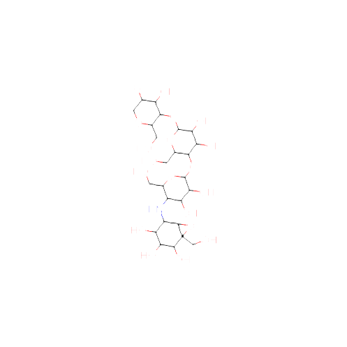 OCC1OC(OC2C(CO)OC(OC3C(CO)OCC(O)C3O)C(O)C2O)C(O)C(O)C1NC1C(O)C(O)C(O)C2(CO)OC12